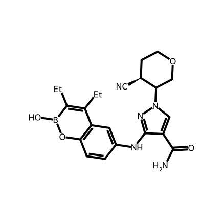 CCC1=C(CC)c2cc(Nc3nn(C4COCC[C@@H]4C#N)cc3C(N)=O)ccc2OB1O